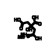 N.O=C(O)CC(O)(CC(=O)O)C(=O)O.[Mn]